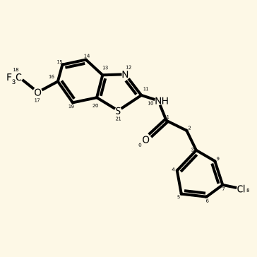 O=C(Cc1cccc(Cl)c1)Nc1nc2ccc(OC(F)(F)F)cc2s1